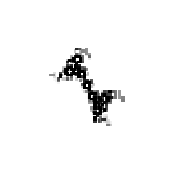 Cc1ccc2c(c1)Oc1cc(C)cc3c4cc(-c5ccc(-c6ccc7c(c6)c6cc(C)cc8c6n7-c6ccc(C)cc6O8)cc5)ccc4n-2c13